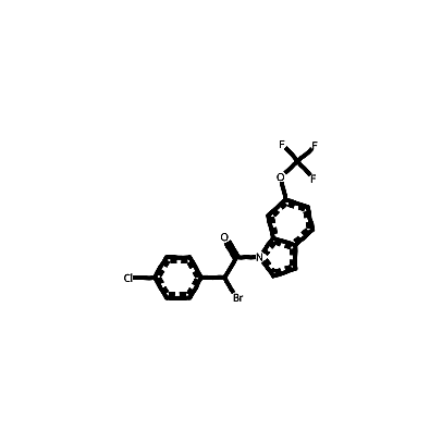 O=C(C(Br)c1ccc(Cl)cc1)n1ccc2ccc(OC(F)(F)F)cc21